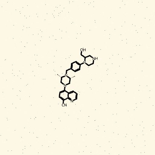 C[C@@H]1CN(c2ccc(C#N)c3ncccc23)C[C@H](C)N1Cc1ccc(N2CCNCC2CO)cc1